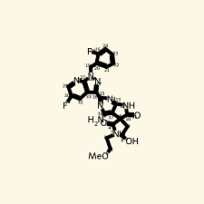 COCCNC(=O)C1(CCO)C(=O)Nc2nc(-c3nn(Cc4ccccc4F)c4ncc(F)cc34)nc(N)c21